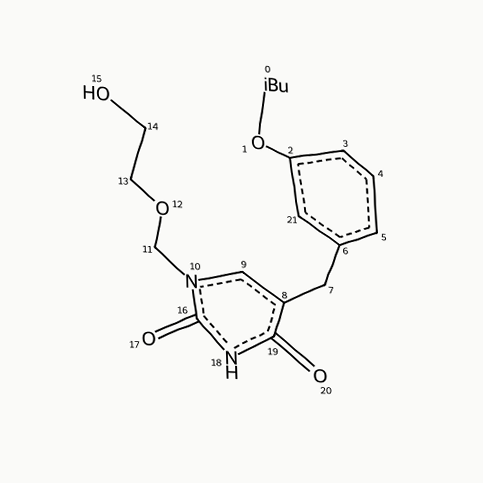 CCC(C)Oc1cccc(Cc2cn(COCCO)c(=O)[nH]c2=O)c1